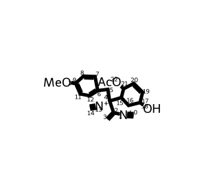 C#[N+]C(=C)C(Cc1ccc(OC)cc1)([N+]#C)C1CC(O)C=CC1OC(C)=O